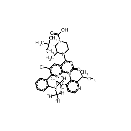 [2H]C([2H])([2H])N(c1ccccc1-c1nc2c(cc1Cl)c(N1CCN(C(=O)O)[C@@H](C(C)(C)C)C1C)nc(=O)n2-c1c(C)ccnc1C(C)C)C([2H])([2H])[2H]